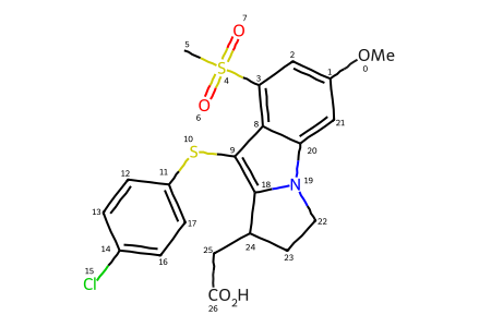 COc1cc(S(C)(=O)=O)c2c(Sc3ccc(Cl)cc3)c3n(c2c1)CCC3CC(=O)O